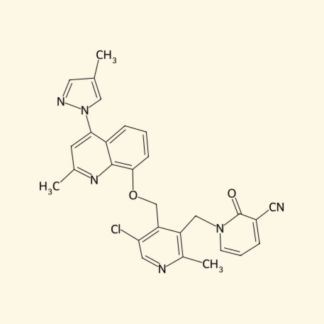 Cc1cnn(-c2cc(C)nc3c(OCc4c(Cl)cnc(C)c4Cn4cccc(C#N)c4=O)cccc23)c1